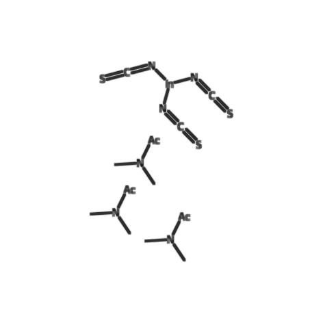 CC(=O)N(C)C.CC(=O)N(C)C.CC(=O)N(C)C.S=C=[N][In]([N]=C=S)[N]=C=S